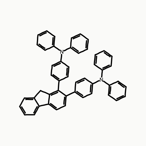 c1ccc(N(c2ccccc2)c2ccc(-c3ccc4c(c3-c3ccc(N(c5ccccc5)c5ccccc5)cc3)Cc3ccccc3-4)cc2)cc1